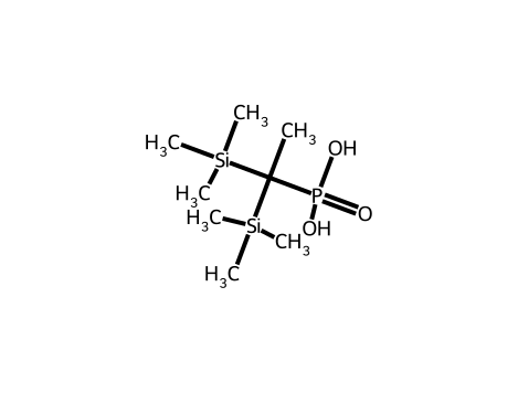 CC([Si](C)(C)C)([Si](C)(C)C)P(=O)(O)O